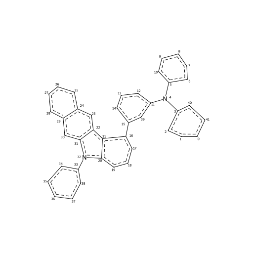 c1ccc(N(c2ccccc2)c2cccc(-c3cccc4c3c3cc5ccccc5cc3n4-c3ccccc3)c2)cc1